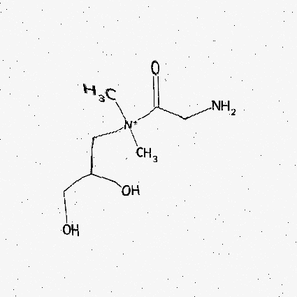 C[N+](C)(CC(O)CO)C(=O)CN